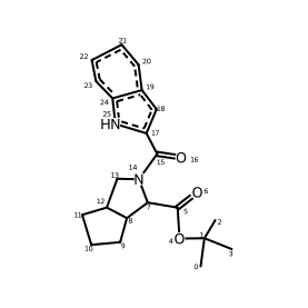 CC(C)(C)OC(=O)C1C2CCCC2CN1C(=O)c1cc2ccccc2[nH]1